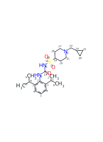 CC(C)c1cccc(C(C)C)c1NC(=O)NS(=O)(=O)C1CCN(CC2CC2)CC1